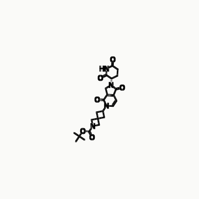 CC(C)(C)OC(=O)N1CC2(CC(n3ccc4c(c3=O)CN([C@H]3CCC(=O)NC3=O)C4=O)C2)C1